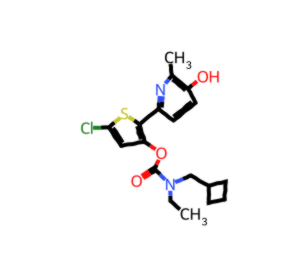 CCN(CC1CCC1)C(=O)Oc1cc(Cl)sc1-c1ccc(O)c(C)n1